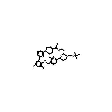 CCOC(=O)C1CCN(c2cccc(-c3cc(F)cc(F)c3OCc3ccc(C4CCN(COC(C)(C)C)CC4)nc3C)n2)CC1